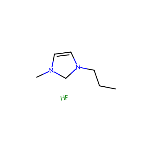 CCCN1C=CN(C)C1.F